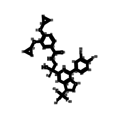 C[C@](O)(CNC(=O)c1ccc(OC2CC2)c(OC2CC2)c1)c1cc2c(c(-c3ccc(F)c(F)c3)n1)OC[C@H]2C(F)(F)F